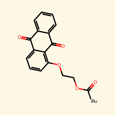 CCC(C)C(=O)OCCOc1cccc2c1C(=O)c1ccccc1C2=O